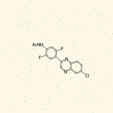 CC(=O)Nc1cc(F)c(-c2cnc3cc(Cl)ccc3n2)cc1F